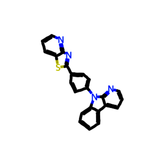 c1cnc2nc(-c3ccc(-n4c5ccccc5c5cccnc54)cc3)sc2c1